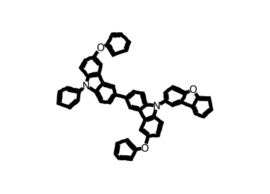 c1ccc(Oc2ccc3c(c2)c2cc(-c4ccc5c(c4)c4cc(Oc6ccccc6)ccc4n5-c4ccc5oc6ccccc6c5c4)ccc2n3-c2ccccc2)cc1